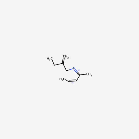 C=C(CC)C/N=C(C)\C=C/C